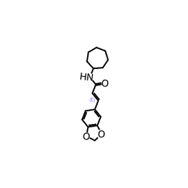 O=C(/C=C/c1ccc2c(c1)OCO2)NC1CCCCCC1